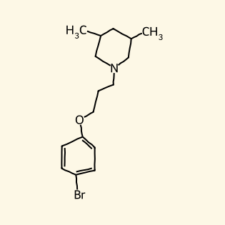 CC1CC(C)CN(CCCOc2ccc(Br)cc2)C1